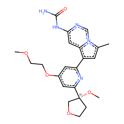 COCCOc1cc(-c2cc(C)n3cnc(NC(N)=O)cc23)nc([C@@]2(OC)CCOC2)c1